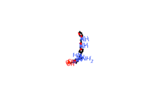 CC1CN(c2nc(N)nc(NCC3CCC(CNCCCNC4CCCCC4)CC3)n2)CC(C)N1CCCP(=O)(O)O